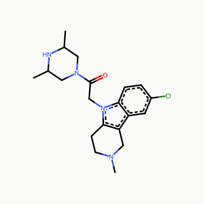 CC1CN(C(=O)Cn2c3c(c4cc(Cl)ccc42)CN(C)CC3)CC(C)N1